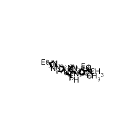 CCc1cnc(N2CCC(n3cc(F)c4c(Nc5ccc(C(=O)N(C)C)c(F)c5)ncnc43)CC2)nc1